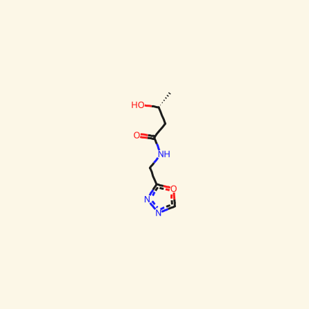 C[C@@H](O)CC(=O)NCc1nnco1